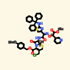 COc1ccc(COC(=O)C2=C(CCl)CS[C@H]3[C@H](NC(=O)/C(=N\O[C@@H](C(=O)OC(C)(C)C)c4cccnc4)c4csc(NC(c5ccccc5)(c5ccccc5)c5ccccc5)n4)C(=O)N23)cc1